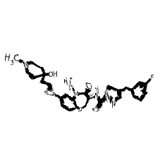 CN1CCC(O)(CCOc2ccc3c(c2)N(C)C(=O)[C@@H](NC(=O)n2cc(Cc4cccc(F)c4)cn2)CO3)CC1